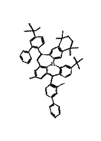 Cc1cc2c3c(c1)C(c1ccc(-c4ccccc4)cc1C)c1ccc(C(C)(C)C)cc1B3c1cc3c(cc1C(c1ccc(C(C)(C)C)cc1-c1ccccc1)C2)C(C)(C)CCC3(C)C